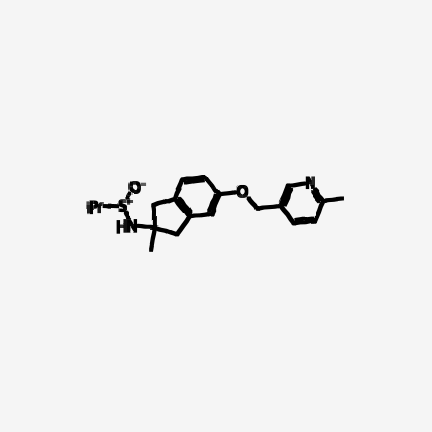 Cc1ccc(COc2ccc3c(c2)CC(C)(N[S+]([O-])C(C)C)C3)cn1